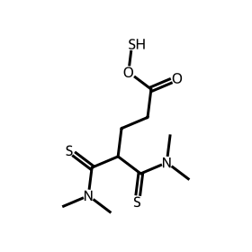 CN(C)C(=S)C(CCC(=O)OS)C(=S)N(C)C